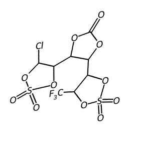 O=C1OC(C2OS(=O)(=O)OC2Cl)C(C2OS(=O)(=O)OC2C(F)(F)F)O1